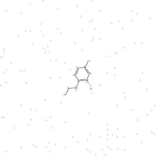 CCOc1ccc(C)cc1F